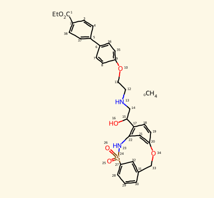 C.CCOC(=O)c1ccc(-c2ccc(OCCNCC(O)c3ccc4cc3NS(=O)(=O)c3cccc(c3)CO4)cc2)cc1